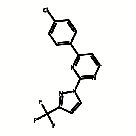 FC(F)(F)c1ccn(-c2n[c]cc(-c3ccc(Cl)cc3)n2)n1